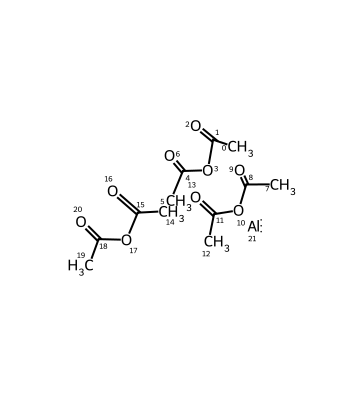 CC(=O)OC(C)=O.CC(=O)OC(C)=O.CC(=O)OC(C)=O.[Al]